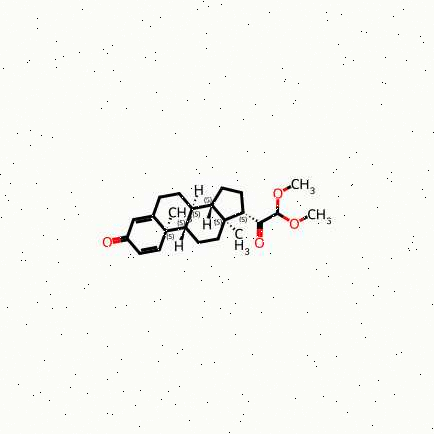 COC(OC)C(=O)[C@H]1CC[C@H]2[C@@H]3CCC4=CC(=O)C=C[C@]4(C)[C@H]3CC[C@]12C